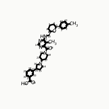 Cc1ccc([C@@H]2CCC[C@H](CNc3ncnc(C(=O)N4CCC(N5CCC(c6cccc(C(=O)O)c6)C5)CC4)c3C)O2)cc1